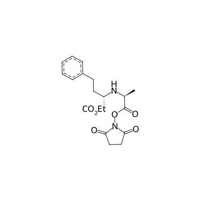 CCOC(=O)[C@H](CCc1ccccc1)N[C@@H](C)C(=O)ON1C(=O)CCC1=O